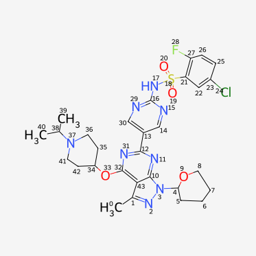 Cc1nn(C2CCCCO2)c2nc(-c3cnc(NS(=O)(=O)c4cc(Cl)ccc4F)nc3)nc(OC3CCN(C(C)C)CC3)c12